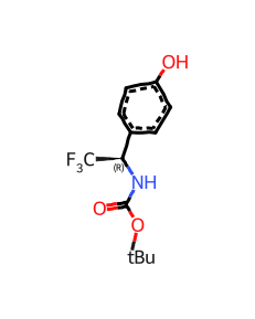 CC(C)(C)OC(=O)N[C@H](c1ccc(O)cc1)C(F)(F)F